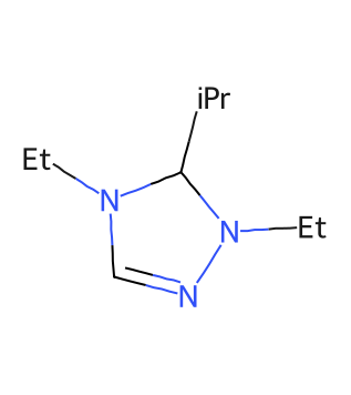 CCN1C=NN(CC)C1C(C)C